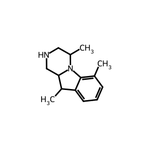 Cc1cccc2c1N1C(C)CNCC1C2C